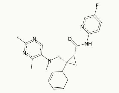 Cc1ncc(N(C)C[C@@]2(C3C=CC=CC3)C[C@H]2C(=O)Nc2ccc(F)cn2)c(C)n1